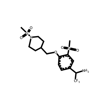 CS(=O)(=O)c1cc(C(N)C(F)(F)F)ccc1OCC1CCN(S(C)(=O)=O)CC1